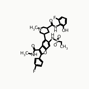 CCS(=O)(=O)Nc1cc2oc(-c3ccc(F)cc3)c(C(=O)NC)c2cc1C1CC(C(=O)Nc2c(O)cccc2F)CN(C)C1